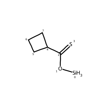 [SiH3]OC(=S)C1CCC1